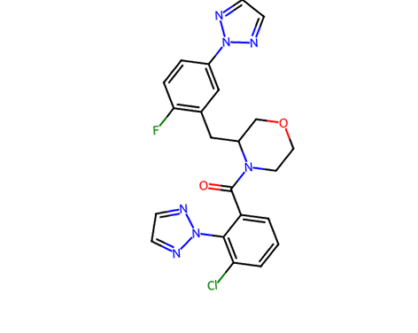 O=C(c1cccc(Cl)c1-n1nccn1)N1CCOCC1Cc1cc(-n2nccn2)ccc1F